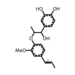 C/C=C/c1ccc(OC(C)C(O)c2ccc(O)c(O)c2)c(OC)c1